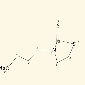 COCCCN1CCSC1=S